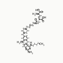 CCCCCNc1nc(N)nc2ccn(Cc3ccc(CN4CCN(CCOCCNC(=O)C[C@H](SC[C@H](N)C(=O)O)C(=O)O)CC4)cc3OC)c12